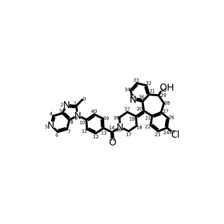 Cc1nc2cnccc2n1-c1ccc(C(=O)N2CCC(=C3c4ccc(Cl)cc4CC(O)c4cccnc43)CC2)cc1